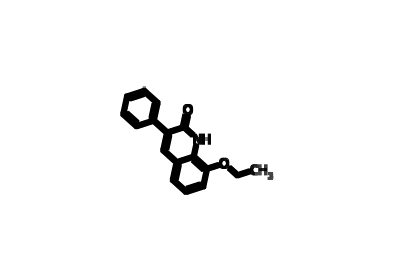 CCOc1cccc2cc(-c3c[c]ccc3)c(=O)[nH]c12